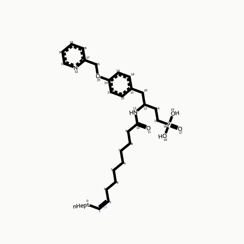 CCCCCCC/C=C\CCCCCCCC(=O)NC(CCP(=O)(O)O)Cc1ccc(OCc2ccccn2)cc1